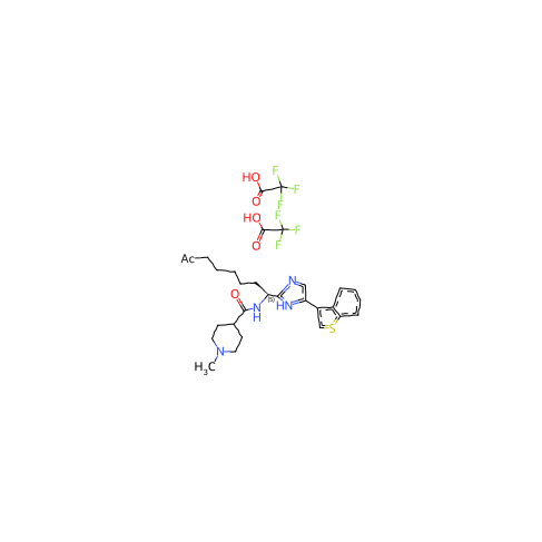 CC(=O)CCCCC[C@H](NC(=O)C1CCN(C)CC1)c1ncc(-c2csc3ccccc23)[nH]1.O=C(O)C(F)(F)F.O=C(O)C(F)(F)F